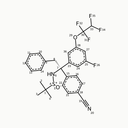 CC(C)(C)[S+]([O-])N[C@](Cc1ccccc1)(c1ccc(C#N)cc1)c1cc(F)cc(OC(F)(F)C(F)F)c1